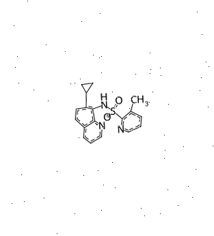 Cc1cccnc1S(=O)(=O)Nc1c(C2CC2)ccc2cccnc12